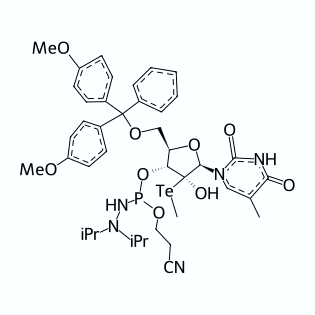 COc1ccc(C(OC[C@H]2O[C@@H](n3cc(C)c(=O)[nH]c3=O)[C@@](O)([Te]C)[C@@H]2OP(NN(C(C)C)C(C)C)OCCC#N)(c2ccccc2)c2ccc(OC)cc2)cc1